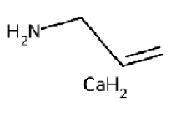 C=CCN.[CaH2]